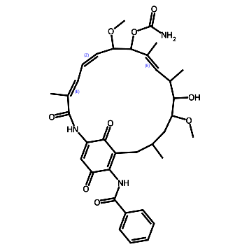 COC1/C=C\C=C(/C)C(=O)NC2=CC(=O)C(NC(=O)c3ccccc3)=C(CC(C)CC(OC)C(O)C(C)/C=C(\C)C1OC(N)=O)C2=O